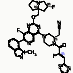 Cn1ncc2cccc(-c3ncc4c(N5CCN(C(=O)/C(F)=C/c6nccs6)[C@@H](CC#N)C5)nc(OC[C@@]56CCCN5C[C@H](F)C6)nc4c3F)c21